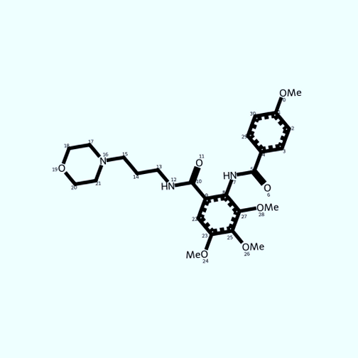 COc1ccc(C(=O)Nc2c(C(=O)NCCCN3CCOCC3)cc(OC)c(OC)c2OC)cc1